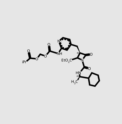 CCOC(=O)C1[C@@H](Cc2ccnc(NC(=O)OCOC(=O)C(C)C)c2)C(=O)N1C(=O)N[C@H](C)C1CCCCC1